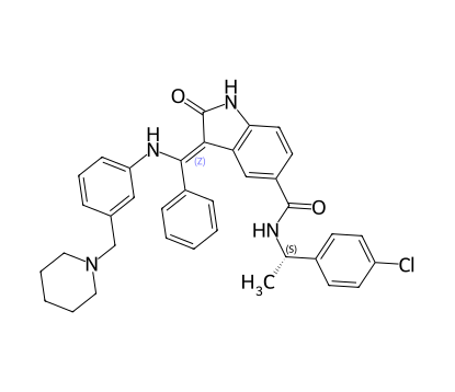 C[C@H](NC(=O)c1ccc2c(c1)/C(=C(/Nc1cccc(CN3CCCCC3)c1)c1ccccc1)C(=O)N2)c1ccc(Cl)cc1